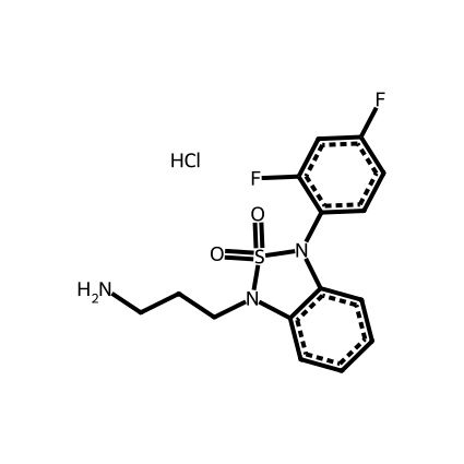 Cl.NCCCN1c2ccccc2N(c2ccc(F)cc2F)S1(=O)=O